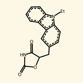 CCn1c2ccccc2c2cc(CC3OC(=O)NC3=O)ccc21